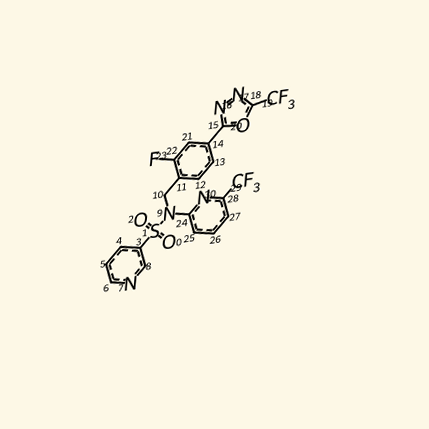 O=S(=O)(c1cccnc1)N(Cc1ccc(-c2nnc(C(F)(F)F)o2)cc1F)c1cccc(C(F)(F)F)n1